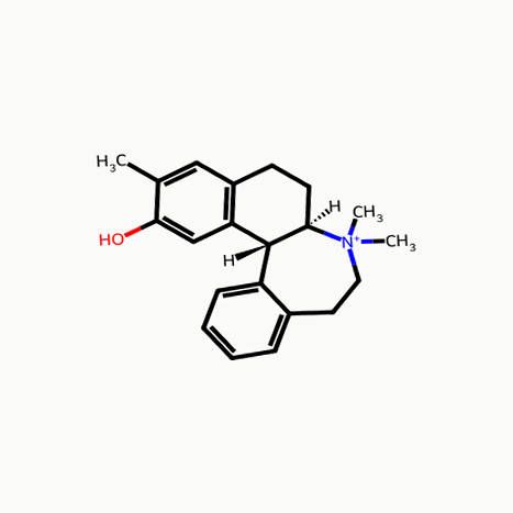 Cc1cc2c(cc1O)[C@H]1c3ccccc3CC[N+](C)(C)[C@@H]1CC2